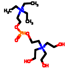 CC[N+](CC)(CC)CCO[PH](=O)OCC[N+](CCO)(CCO)CCO